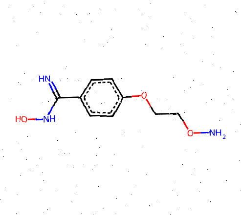 N=C(NO)c1ccc(OCCON)cc1